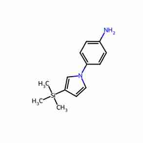 C[Si](C)(C)c1ccn(-c2ccc(N)cc2)c1